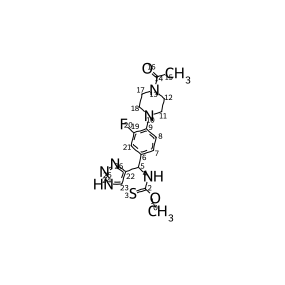 COC(=S)NC(c1ccc(N2CCN(C(C)=O)CC2)c(F)c1)c1c[nH]nn1